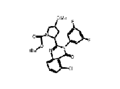 COC1CC(c2nc3cccc(Cl)c3c(=O)n2-c2cc(F)cc(F)c2)N(C(=O)OC(C)(C)C)C1